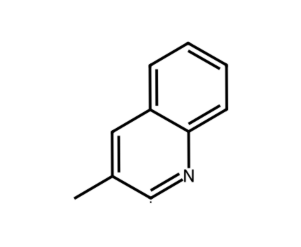 Cc1[c]nc2ccccc2c1